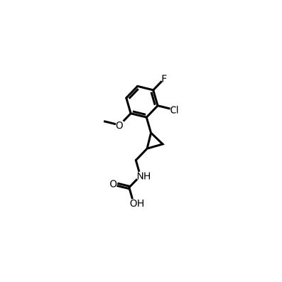 COc1ccc(F)c(Cl)c1C1CC1CNC(=O)O